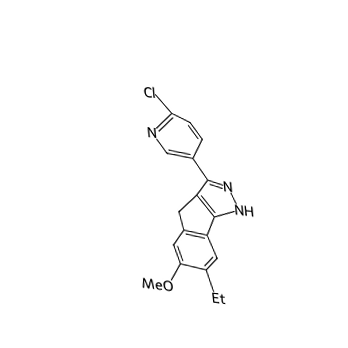 CCc1cc2c(cc1OC)Cc1c(-c3ccc(Cl)nc3)n[nH]c1-2